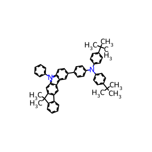 CC(C)(C)c1ccc(N(c2ccc(-c3ccc4c(c3)c3cc5c(cc3n4-c3ccccc3)C(C)(C)c3ccccc3-5)cc2)c2ccc(C(C)(C)C)cc2)cc1